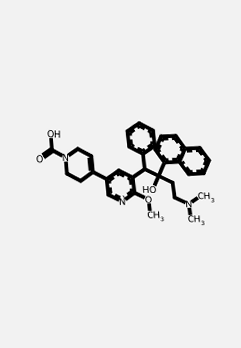 COc1ncc(C2=CCN(C(=O)O)CC2)cc1C(c1ccccc1)C(O)(CCN(C)C)c1cccc2ccccc12